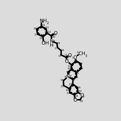 COc1ccc2cc3[n+](cc2c1OC(=O)CCCCNC(=O)c1cc(N)ccc1O)CCc1cc2c(cc1-3)OCO2